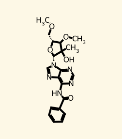 COC[C@H]1O[C@@H](n2cnc3c(NC(=O)c4ccccc4)ncnc32)C(C)(O)C1OC